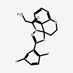 NCC(=O)N1N=C(c2cc(F)ccc2F)SC12CCOc1ccccc12